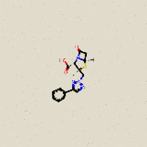 C[C@@]1(Cn2ncc(-c3ccccc3)n2)S[C@@H]2CC(=O)N2[C@H]1C(=O)O